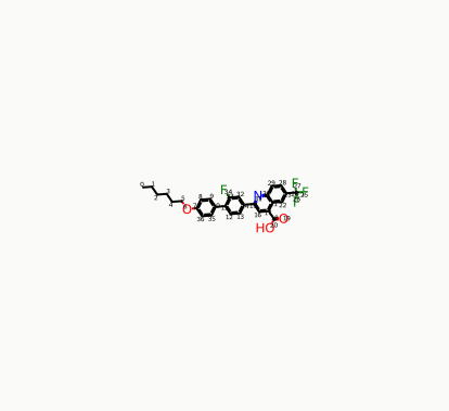 CCCCCCOc1ccc(-c2ccc(-c3cc(C(=O)O)c4cc(C(F)(F)F)ccc4n3)cc2F)cc1